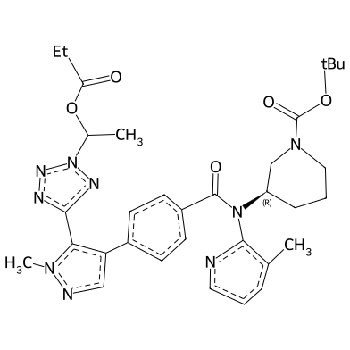 CCC(=O)OC(C)n1nnc(-c2c(-c3ccc(C(=O)N(c4ncccc4C)[C@@H]4CCCN(C(=O)OC(C)(C)C)C4)cc3)cnn2C)n1